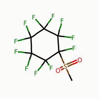 CS(=O)(=O)C1(F)C(F)(F)C(F)(F)C(F)(F)C(F)(F)C1(F)F